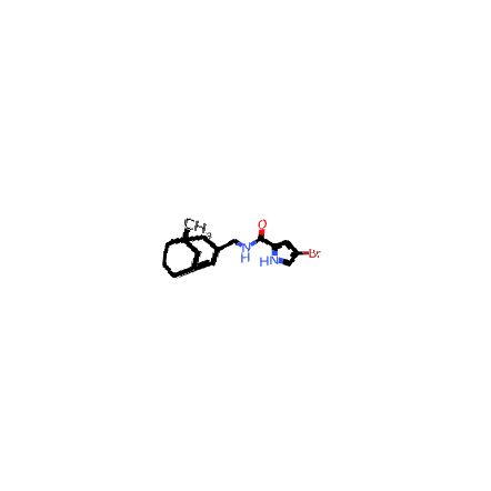 CC12CCCC(=CC(CNC(=O)c3cc(Br)c[nH]3)C1)C2